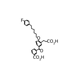 O=C(O)CCc1cc(C(=O)c2cccc(C(=O)O)c2)ccc1OCCCCCCc1ccc(F)cc1